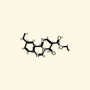 CCOC(=O)c1cnc2c3cc(CC)ccc3ncn2c1=O